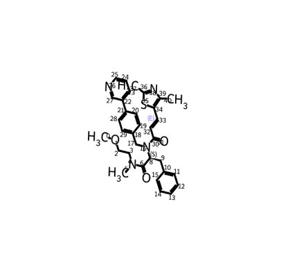 COCCN(C)C(=O)[C@H](Cc1ccccc1)N(Cc1ccc(-c2cccnc2)cc1)C(=O)/C=C/c1sc(C)nc1C